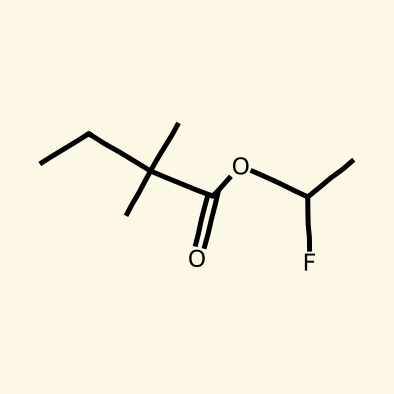 CCC(C)(C)C(=O)OC(C)F